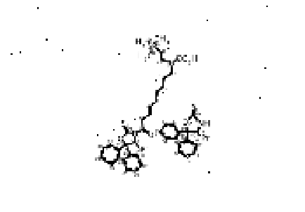 CC(C)[C@@H]1N(C(=O)CC=CCCCCCN(CC[Si](C)(C)C)C(=O)O)C(=S)OC1(c1ccccc1)c1ccccc1.CC(C)[C@@H]1NC(=S)OC1(c1ccccc1)c1ccccc1